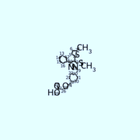 CSc1c(-c2ccc(C)s2)c(-c2ccccc2)nn1C[C@H]1CC[C@H](COCC(=O)O)CC1